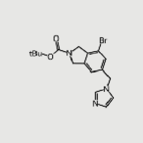 CC(C)(C)OC(=O)N1Cc2cc(Cn3ccnc3)cc(Br)c2C1